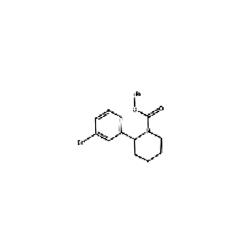 CC(C)(C)OC(=O)N1CCCCC1c1cccc(Br)c1